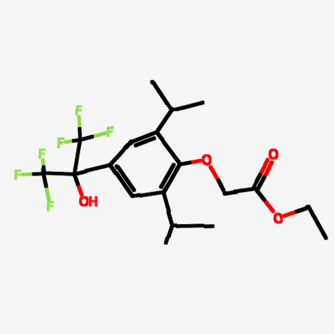 CCOC(=O)COc1c(C(C)C)cc(C(O)(C(F)(F)F)C(F)(F)F)cc1C(C)C